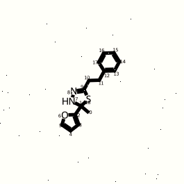 CC1(c2ccco2)NN=C(CCc2ccccc2)S1